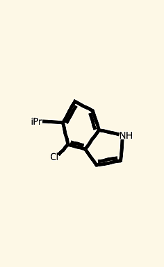 CC(C)c1ccc2[nH]ccc2c1Cl